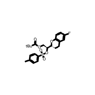 Cc1ccc(S(=O)(=O)O[C@@H](COC(=O)C(C)(C)C)[C@H]2CCc3cc(F)ccc3O2)cc1